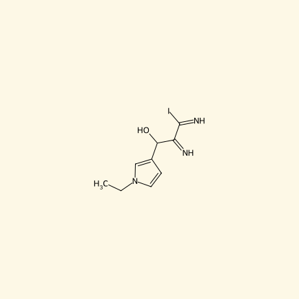 CCn1ccc(C(O)C(=N)C(=N)I)c1